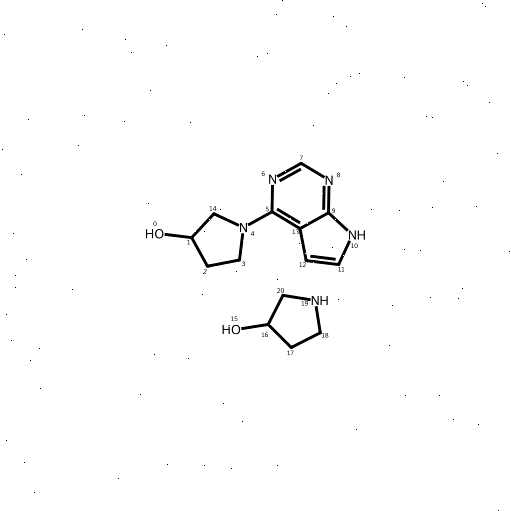 OC1CCN(c2ncnc3[nH]ccc23)C1.OC1CCNC1